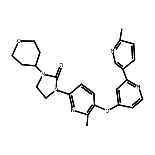 Cc1ccc(-c2cc(Oc3ccc(N4CCN(C5CCOCC5)C4=O)nc3C)ccn2)cn1